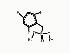 CCOP(=O)(Cc1c(F)cc(F)cc1F)OCC